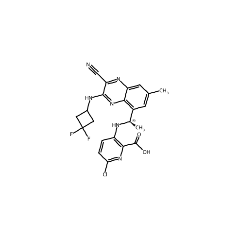 Cc1cc([C@@H](C)Nc2ccc(Cl)nc2C(=O)O)c2nc(NC3CC(F)(F)C3)c(C#N)nc2c1